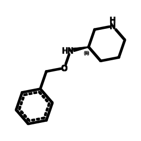 c1ccc(CON[C@@H]2CCCNC2)cc1